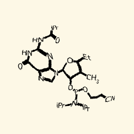 CCC1OC(n2cnc3c(=O)[nH]c(NC(=O)C(C)C)nc32)C(OP(OCCC#N)N(C(C)C)C(C)C)C1C